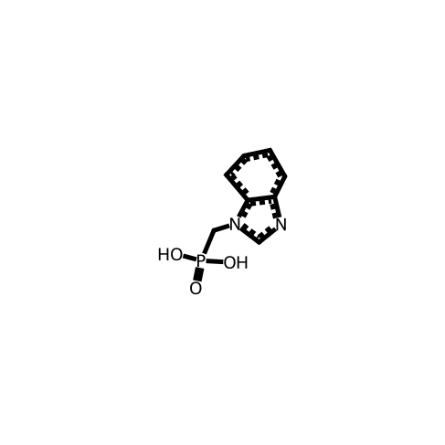 O=P(O)(O)Cn1cnc2ccccc21